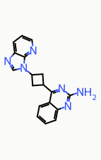 Nc1nc(C2CC(n3cnc4cccnc43)C2)c2ccccc2n1